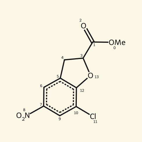 COC(=O)C1Cc2cc([N+](=O)[O-])cc(Cl)c2O1